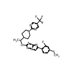 CSc1ccc(-c2cn3nc(O[C@@H](C)C4CCN(c5ncc(C(F)(F)F)cn5)CC4)sc3n2)c(F)c1